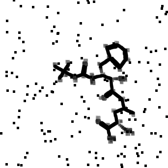 CC(CC(=O)[C@@H](O)[C@@H](Cc1ccccc1)NC(=O)OC(C)(C)C)C[C@H](N)C(=O)O